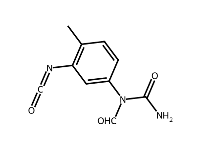 Cc1ccc(N(C=O)C(N)=O)cc1N=C=O